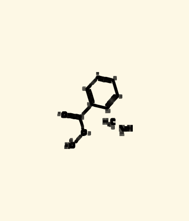 C.O=C(OO)c1ccccc1.[NaH]